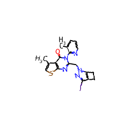 Cc1cccnc1-n1c(Cn2nc(I)c3c2CC3)nc2scc(C)c2c1=O